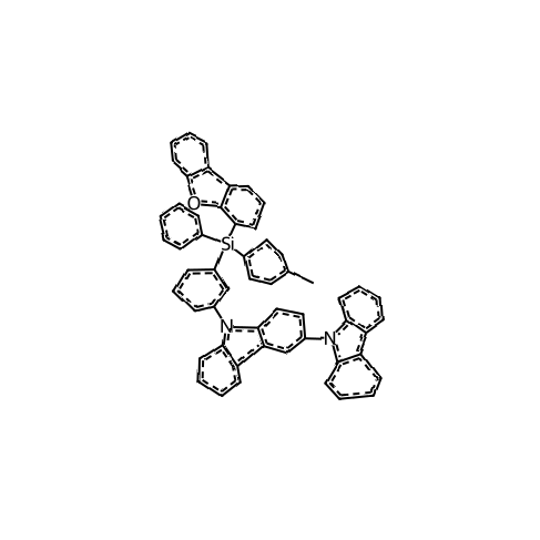 Cc1ccc([Si](c2ccccc2)(c2cccc(-n3c4ccccc4c4cc(-n5c6ccccc6c6ccccc65)ccc43)c2)c2cccc3c2oc2ccccc23)cc1